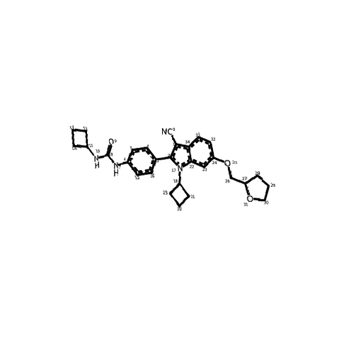 N#Cc1c(-c2ccc(NC(=O)NC3CCC3)cc2)n(C2CCC2)c2cc(OCC3CCCO3)ccc12